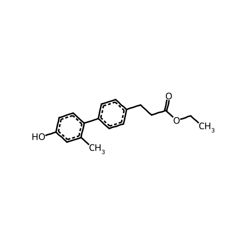 CCOC(=O)CCc1ccc(-c2ccc(O)cc2C)cc1